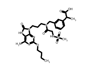 CCCCOc1nc(N)c2[nH]c(=O)n(CCCN(Cc3cccc(C(C)C(=O)O)c3)C(=O)CNS(C)(=O)=O)c2n1